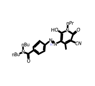 CCCCN(CCCC)C(=O)c1ccc(/N=N/c2c(C)c(C#N)c(=O)n(CCC)c2O)cc1